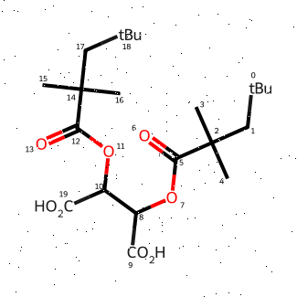 CC(C)(C)CC(C)(C)C(=O)OC(C(=O)O)C(OC(=O)C(C)(C)CC(C)(C)C)C(=O)O